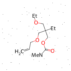 C=CCOCC(CC)(COCC)COC(=O)NC